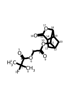 CC(C)(F)C(=O)OCC(=O)OC1C2CC3C(=O)OC1C3C2